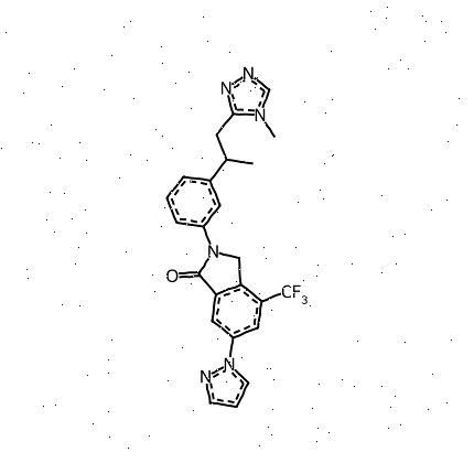 CC(Cc1nncn1C)c1cccc(N2Cc3c(cc(-n4cccn4)cc3C(F)(F)F)C2=O)c1